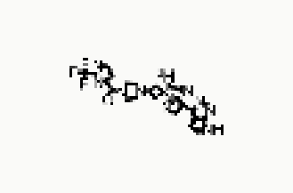 [2H]C(C#N)[C@]1(n2cc(-c3ncnc4[nH]ccc34)cn2)C[C@@H](N2CCN(C(=O)c3ccnc(C(F)(F)F)n3)CC2)C1